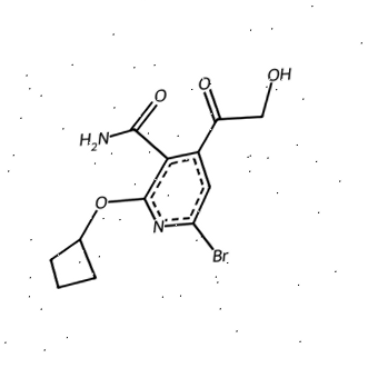 NC(=O)c1c(C(=O)CO)cc(Br)nc1OC1CCC1